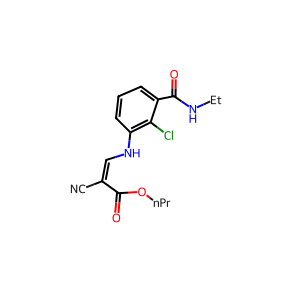 CCCOC(=O)C(C#N)=CNc1cccc(C(=O)NCC)c1Cl